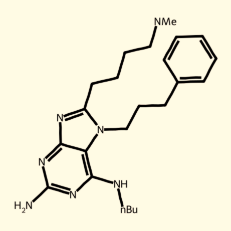 CCCCNc1nc(N)nc2nc(CCCCNC)n(CCCc3ccccc3)c12